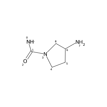 [NH]C(=O)N1CCC(N)C1